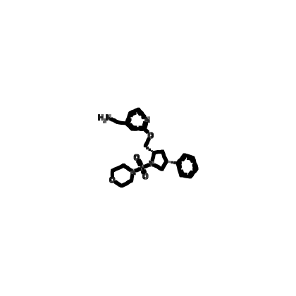 NCc1ccnc(OC[C@@H]2C[C@H](c3ccccc3)CN2S(=O)(=O)N2CCOCC2)c1